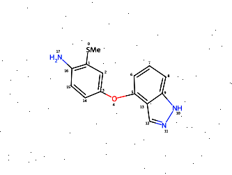 CSc1cc(Oc2cccc3[nH]ncc23)ccc1N